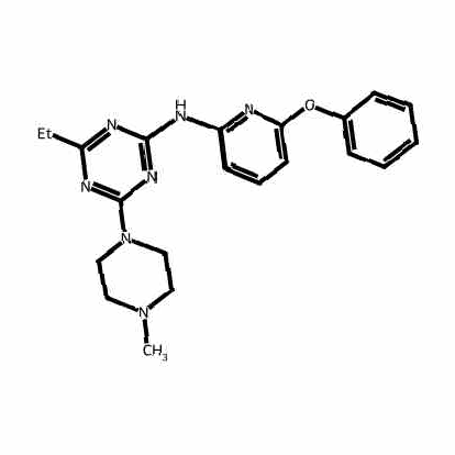 CCc1nc(Nc2cccc(Oc3ccccc3)n2)nc(N2CCN(C)CC2)n1